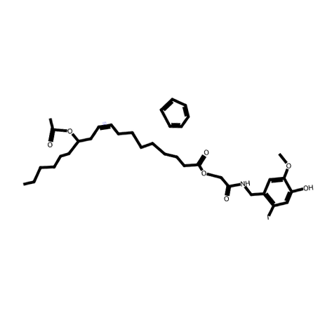 CCCCCCC(C/C=C\CCCCCCCC(=O)OCC(=O)NCc1cc(OC)c(O)cc1I)OC(C)=O.c1ccccc1